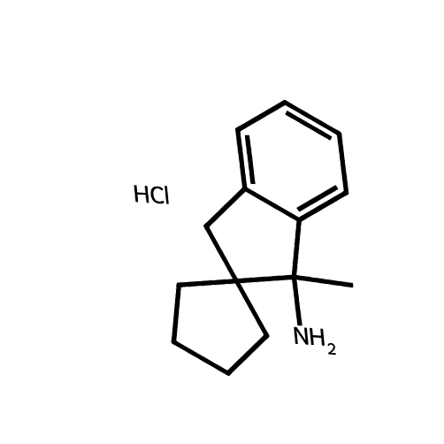 CC1(N)c2ccccc2CC12CCCC2.Cl